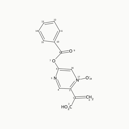 C=C(C(=O)O)c1cnc(OC(=O)c2ccccc2)c[n+]1[O-]